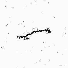 CCC=CCC(O)C#CC=CC#CC(O)CC=CCC=CCCC12OCC(C)(CO1)CO2